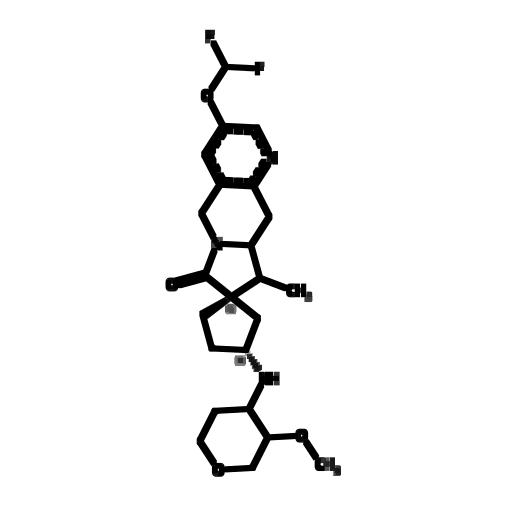 COC1COCCC1N[C@@H]1CC[C@@]2(C1)C(=O)N1Cc3cc(OC(F)F)cnc3CC1C2C